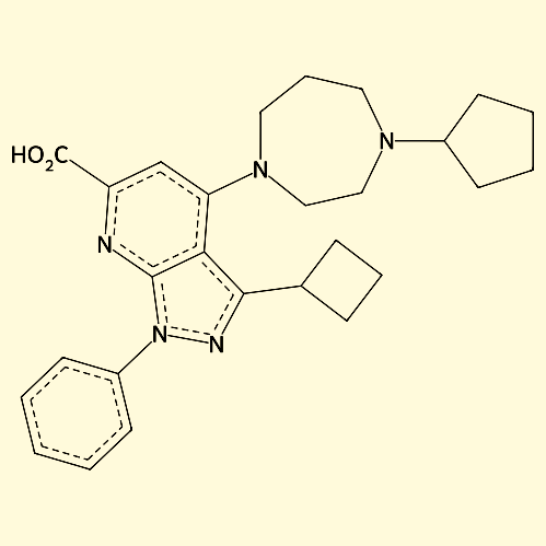 O=C(O)c1cc(N2CCCN(C3CCCC3)CC2)c2c(C3CCC3)nn(-c3ccccc3)c2n1